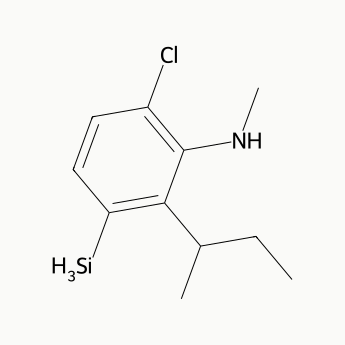 CCC(C)c1c([SiH3])ccc(Cl)c1NC